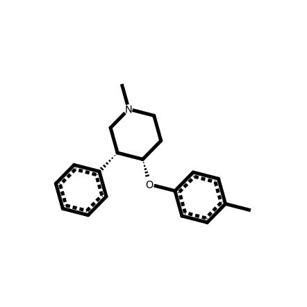 Cc1ccc(O[C@H]2CCN(C)C[C@H]2c2ccccc2)cc1